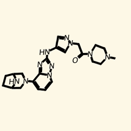 CN1CCN(C(=O)Cn2cc(Nc3nc4c(N5CC6CCC(C5)N6)cccn4n3)cn2)CC1